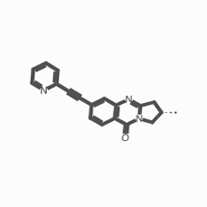 C[C@H]1Cc2nc3cc(C#Cc4ccccn4)ccc3c(=O)n2C1